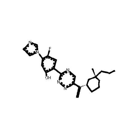 C=C(c1cnc(-c2cc(F)c(-n3ccnc3)cc2O)nn1)[C@H]1CCC[C@@](C)(CCC)C1